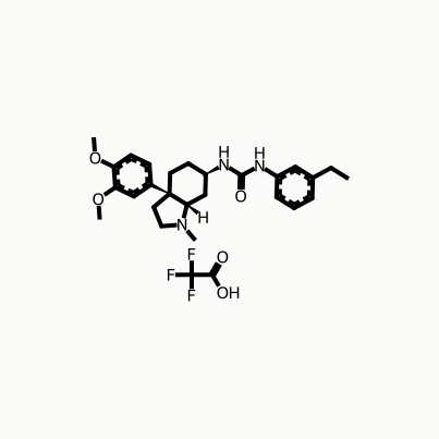 CCc1cccc(NC(=O)N[C@@H]2CC[C@@]3(c4ccc(OC)c(OC)c4)CCN(C)[C@H]3C2)c1.O=C(O)C(F)(F)F